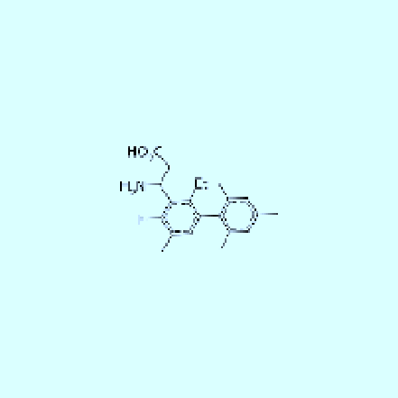 CCc1c(-c2c(C)cc(C)cc2C)cc(C)c(F)c1C(N)CC(=O)O